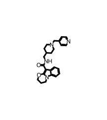 O=C(NCC1CCN(Cc2ccncc2)CC1)c1c2n(c3ccccc13)CCCO2